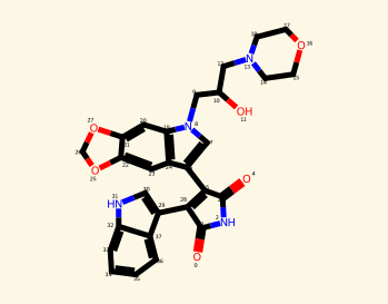 O=C1NC(=O)C(c2cn(CC(O)CN3CCOCC3)c3cc4c(cc23)OCO4)=C1c1c[nH]c2ccccc12